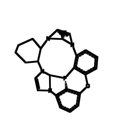 C[C@H]1N2C=CN1C1CCCCC1N1C=CN3c4cccc5c4[P@@](c4c(cccc42)O5)C31